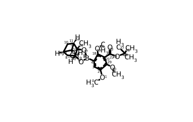 COc1cc(B2O[C@@H]3C[C@@H]4C[C@@H](C4(C)C)[C@]3(C)O2)c(OC)c(C(=O)OC(C)(C)C)c1OC